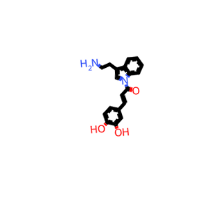 NCCc1cn(C(=O)C=Cc2ccc(O)c(O)c2)c2ccccc12